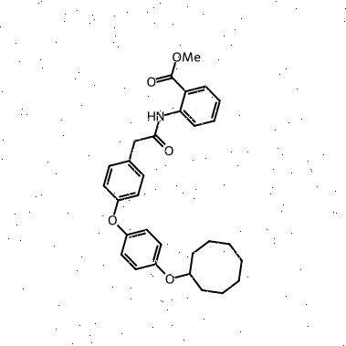 COC(=O)c1ccccc1NC(=O)Cc1ccc(Oc2ccc(OC3CCCCCCC3)cc2)cc1